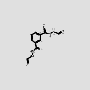 O=CNNC(=O)c1cccc(C(=O)NNC=O)c1